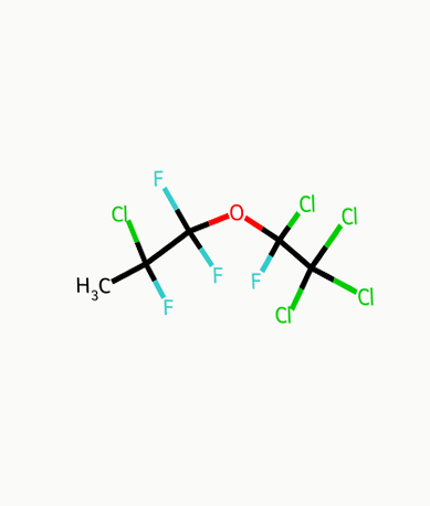 CC(F)(Cl)C(F)(F)OC(F)(Cl)C(Cl)(Cl)Cl